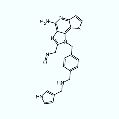 Nc1nc2ccsc2c2c1nc(CN=O)n2Cc1ccc(CNCc2cc[nH]c2)cc1